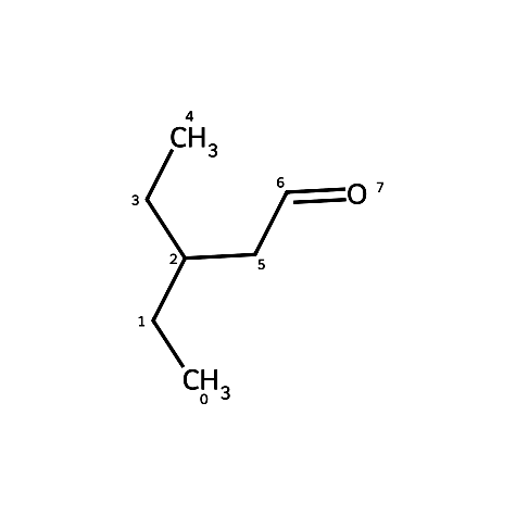 CCC(CC)CC=O